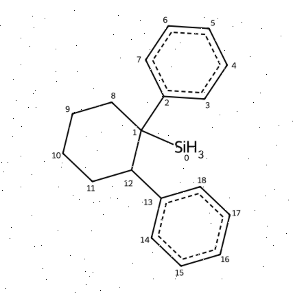 [SiH3]C1(c2ccccc2)CCCCC1c1ccccc1